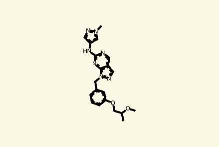 COC(C)COc1cccc(Cn2ncc3cnc(Nc4cnn(C)c4)nc32)c1